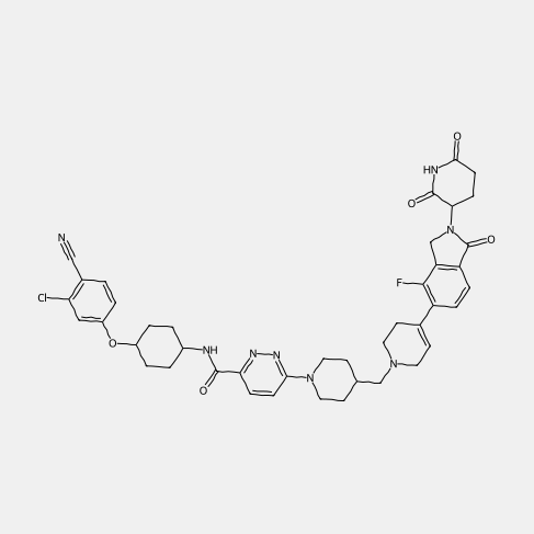 N#Cc1ccc(OC2CCC(NC(=O)c3ccc(N4CCC(CN5CC=C(c6ccc7c(c6F)CN(C6CCC(=O)NC6=O)C7=O)CC5)CC4)nn3)CC2)cc1Cl